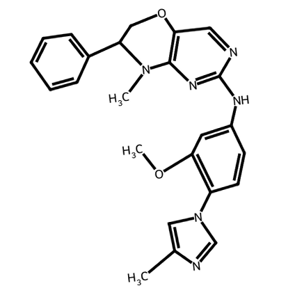 COc1cc(Nc2ncc3c(n2)N(C)C(c2ccccc2)CO3)ccc1-n1cnc(C)c1